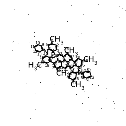 Cc1ccc2c(c1)N(c1ccccc1)c1cc(C)cc3c1B2c1cc2c(C)cc4c5c(cc6c(C)cc-3c1c6c25)B1c2ccc(C)cc2N(c2ccccc2)c2cc(C)cc-4c21